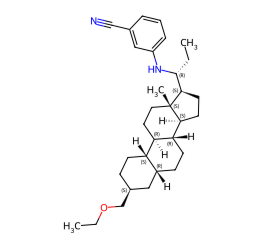 CCOC[C@H]1CC[C@H]2[C@H](CC[C@@H]3[C@@H]2CC[C@]2(C)[C@@H]([C@@H](CC)Nc4cccc(C#N)c4)CC[C@@H]32)C1